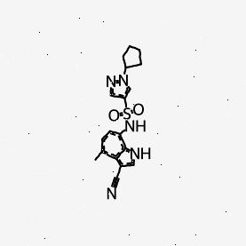 Cc1ccc(NS(=O)(=O)c2cnn(C3CCCC3)c2)c2[nH]cc(C#N)c12